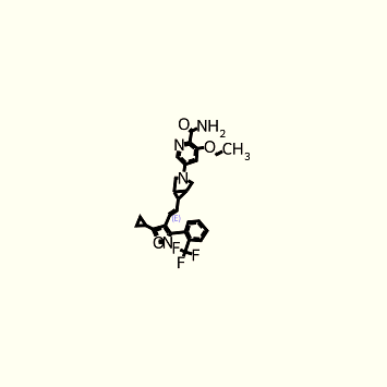 CCOc1cc(N2CC3C(/C=C/c4c(-c5ccccc5C(F)(F)F)noc4C4CC4)C3C2)cnc1C(N)=O